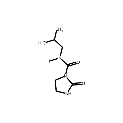 CC(C)CN(I)C(=O)N1CCNC1=O